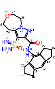 N=S(N)(=O)c1c(C(=O)Nc2c3c(cc4c2CCC4)CCC3)nn2c1CCOCC2